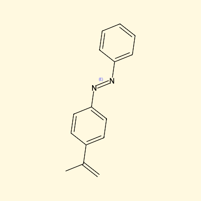 C=C(C)c1ccc(/N=N/c2ccccc2)cc1